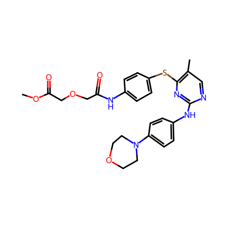 COC(=O)COCC(=O)Nc1ccc(Sc2nc(Nc3ccc(N4CCOCC4)cc3)ncc2C)cc1